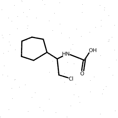 O=C(O)NC(CCl)C1CCCCC1